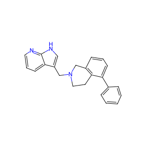 c1ccc(-c2cccc3c2CCN(Cc2c[nH]c4ncccc24)C3)cc1